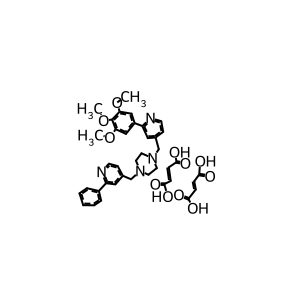 COc1cc(-c2cc(CN3CCN(Cc4ccnc(-c5ccccc5)c4)CC3)ccn2)cc(OC)c1OC.O=C(O)C=CC(=O)O.O=C(O)C=CC(=O)O